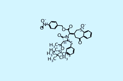 C[C@H](O[Si](C)(C)C(C)(C)C)[C@@H]1C(=O)N(C(C(=O)OCc2ccc([N+](=O)[O-])cc2)=C2CC(=O)c3ccccc3[S+]([O-])C2)[C@H]1Sc1ccccc1